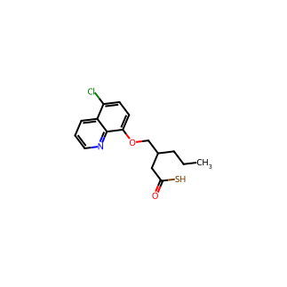 CCCC(COc1ccc(Cl)c2cccnc12)CC(=O)S